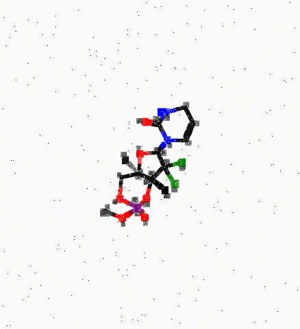 CC(C)O[P@@]1(=O)OC[C@H]2O[C@@H](N3C=CCNC3=O)C(Cl)(Cl)[C@@H]2O1